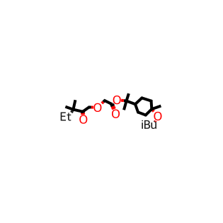 CCC(C)OC1(C)CCC(C(C)(C)OC(=O)COCC(=O)C(C)(C)CC)CC1